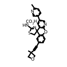 Cc1ccc(-c2cnc3c(c2)C2(CSC(NC(=O)O)=N2)c2cc(C#CC4(C)COC4)ccc2O3)cn1